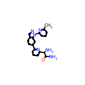 Cc1cccc(-n2ncc3ccc(-c4cccc(C(N)C(N)=O)n4)cc32)n1